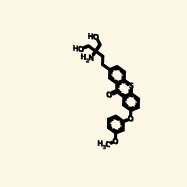 COc1cccc(Oc2ccc3sc4ccc(CCC(N)(CO)CO)cc4c(=O)c3c2)c1